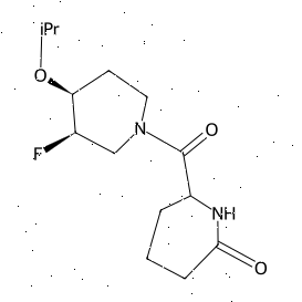 CC(C)O[C@H]1CCN(C(=O)C2CCCC(=O)N2)C[C@H]1F